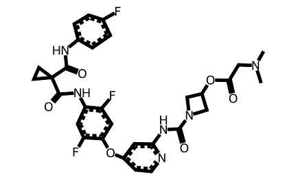 CN(C)CC(=O)OC1CN(C(=O)Nc2cc(Oc3cc(F)c(NC(=O)C4(C(=O)Nc5ccc(F)cc5)CC4)cc3F)ccn2)C1